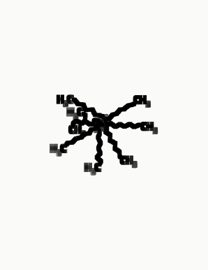 CCCCCCCC[N](CCCCCCCC)[Ti]([O]CC(CC)CCCC)([N](CCCCCCCC)CCCCCCCC)[N](CCCCCCCC)CCCCCCCC